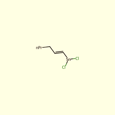 CCCCC=[CH][Sn]([Cl])[Cl]